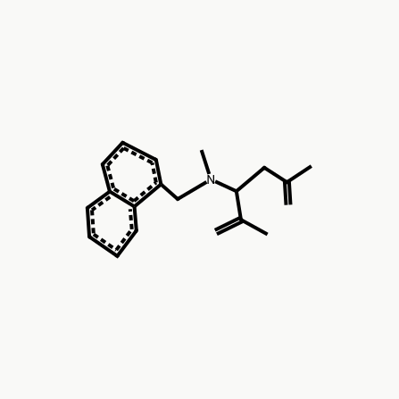 C=C(C)CC(C(=C)C)N(C)Cc1cccc2ccccc12